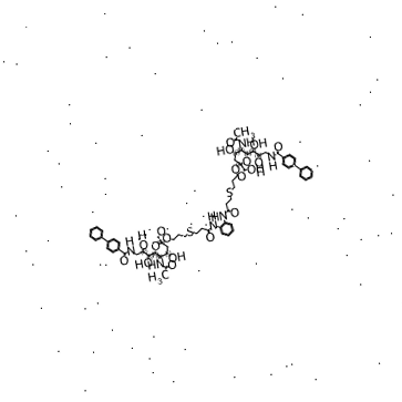 CC(=O)N[C@H]1[C@H]([C@H](O)[C@H](O)CNC(=O)c2ccc(-c3ccccc3)cc2)O[C@](C=O)(OCCCSCCC(=O)Nc2ccccc2NC(=O)CCSCCCO[C@]2(C(=O)O)C[C@H](O)[C@@H](NC(C)=O)[C@H]([C@H](O)[C@H](O)CNC(=O)c3ccc(-c4ccccc4)cc3)O2)C[C@@H]1O